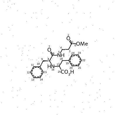 COC(=O)CCNC(=O)[C@H](Cc1ccccc1)NC(Cc1ccccc1)C(=O)O